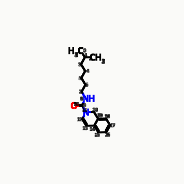 CC(C)CCCCCNC(=O)N1C=Cc2ccccc2C1